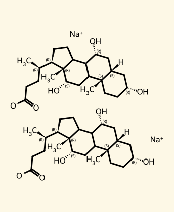 C[C@H](CCC(=O)[O-])[C@H]1CCC2C3C(C[C@H](O)[C@@]21C)[C@@]1(C)CC[C@@H](O)C[C@H]1C[C@H]3O.C[C@H](CCC(=O)[O-])[C@H]1CCC2C3C(C[C@H](O)[C@@]21C)[C@@]1(C)CC[C@@H](O)C[C@H]1C[C@H]3O.[Na+].[Na+]